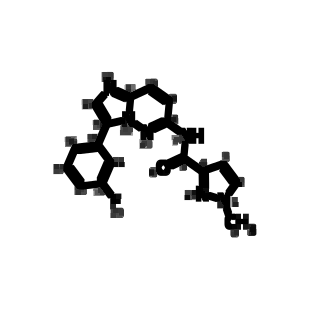 Cn1ccc(C(=O)Nc2ccc3ncc(-c4cccc(F)c4)n3n2)n1